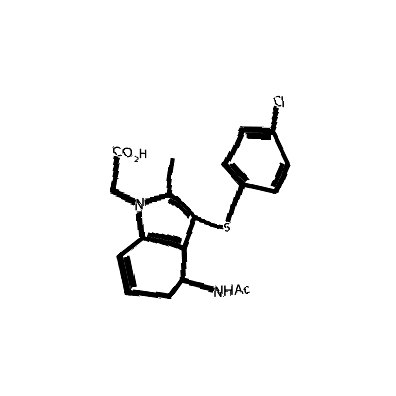 CC(=O)NC1CC=Cc2c1c(Sc1ccc(Cl)cc1)c(C)n2CC(=O)O